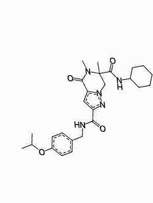 CC(C)Oc1ccc(CNC(=O)c2cc3n(n2)CC(C)(C(=O)NC2CCCCC2)N(C)C3=O)cc1